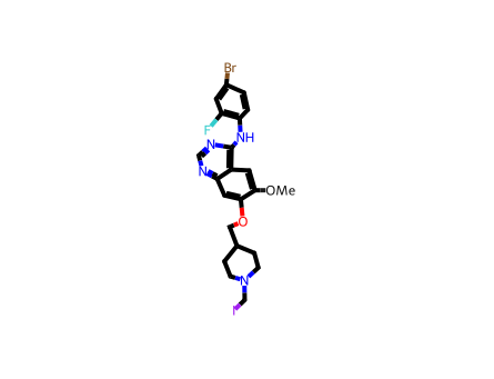 COc1cc2c(Nc3ccc(Br)cc3F)ncnc2cc1OCC1CCN(CI)CC1